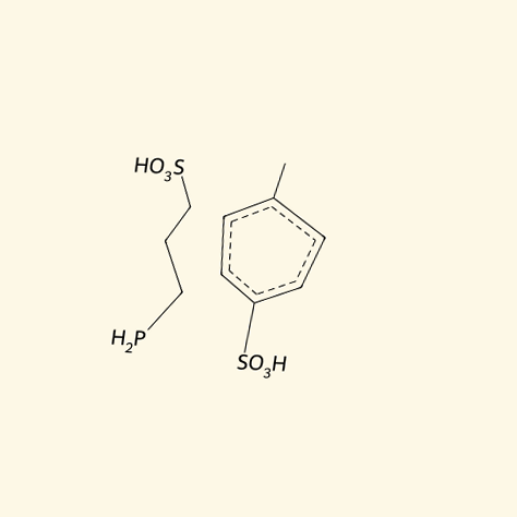 Cc1ccc(S(=O)(=O)O)cc1.O=S(=O)(O)CCCP